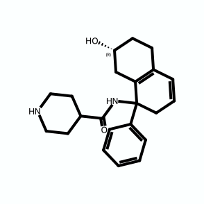 O=C(NC1(c2ccccc2)CC=CC2=C1C[C@H](O)CC2)C1CCNCC1